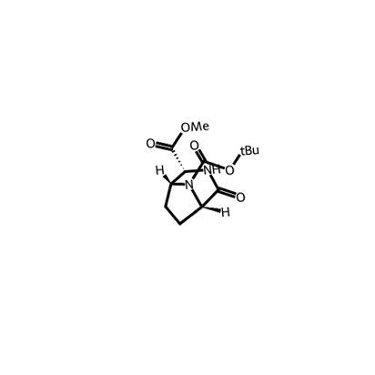 COC(=O)[C@@H]1NC(=O)[C@@H]2CC[C@H]1N2C(=O)OC(C)(C)C